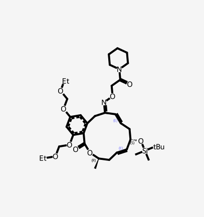 CCOCOc1cc2c(c(OCOCC)c1)C(=O)O[C@H](C)C/C=C/[C@@H](O[Si](C)(C)C(C)(C)C)C/C=C/C(=NOCC(=O)N1CCCCC1)C2